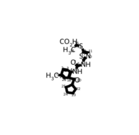 Cc1ccc(NC(=O)Nc2ncc(SC(C)C(=O)O)s2)c(C(=O)C2CCCC2)c1